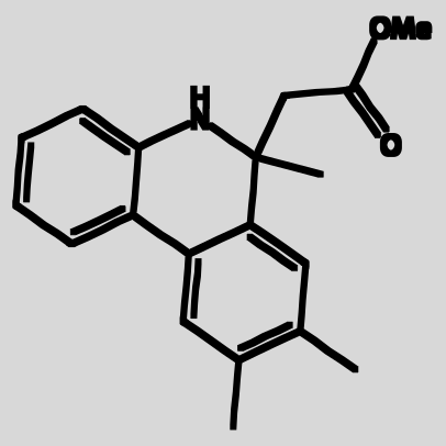 COC(=O)CC1(C)Nc2ccccc2-c2cc(C)c(C)cc21